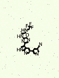 C[C@@H](Nc1cncc(-c2c[nH]c3ncc(-c4cncc(C#N)c4)cc23)n1)C(=O)NCC(F)(F)F